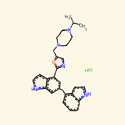 CC(C)N1CCN(Cc2cnc(-c3cc(-c4cccc5[nH]ccc45)cc4[nH]ccc34)o2)CC1.Cl